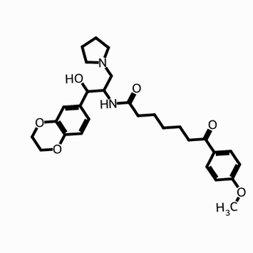 COc1ccc(C(=O)CCCCCC(=O)NC(CN2CCCC2)C(O)c2ccc3c(c2)OCCO3)cc1